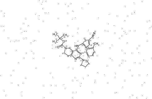 Cc1ccc([C@@H]2CCCN2c2nc3c(c(Nc4ncc(C#N)s4)n2)CN(C(=O)OC(C)(C)C)CC3)cc1